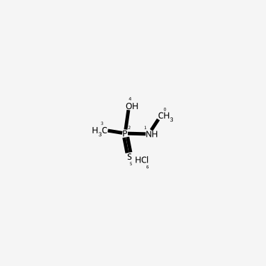 CNP(C)(O)=S.Cl